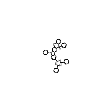 O=P1(c2ccccc2)c2ccccc2Oc2cc3c(cc21)c1cc(-c2nc(-c4ccccc4)nc(-c4ccccc4)n2)ccc1n3-c1ccccc1